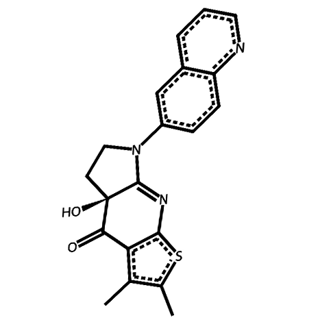 Cc1sc2c(c1C)C(=O)[C@]1(O)CCN(c3ccc4ncccc4c3)C1=N2